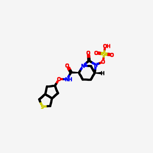 O=C(NOC1CC2CSCC2C1)[C@@H]1CC[C@@H]2CN1C(=O)N2OS(=O)(=O)O